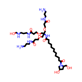 NCCCNC(=O)CCOCC(COCCC(=O)NCCCN)(COCCC(=O)NCCCNCO)NC(=O)CCCCCCCCCCC(=O)N1C[C@H](O)CC1CO